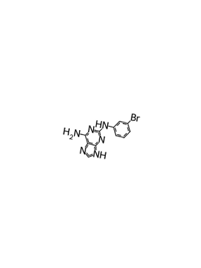 Nc1nc(Nc2cccc(Br)c2)nc2[nH]cnc12